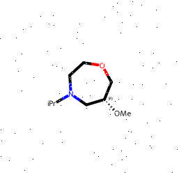 CO[C@H]1COCCN(C(C)C)C1